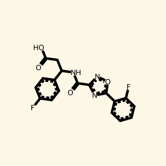 O=C(O)CC(NC(=O)c1noc(-c2ccccc2F)n1)c1ccc(F)cc1